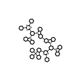 c1ccc(-c2nc(-c3cc(-n4c5ccccc5c5ccccc54)cc(-n4c5ccccc5c5cc(-c6ccc7c(c6)c6ccccc6n7-c6cc(-c7nc(-c8ccccc8)nc(-c8ccccc8)n7)cc(-n7c8ccccc8c8ccccc87)c6)ccc54)c3)cc(-c3cccc4c3-c3ccccc3C4(c3ccccc3)c3ccccc3)n2)cc1